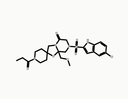 CCC(=O)N1CCC2(CC1)CN1C(=O)CN(S(=O)(=O)c3cc4cc(Cl)ccc4[nH]3)CC1(COC)O2